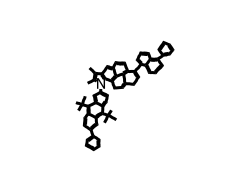 Cc1c(C)n(-c2ccc3c(C(C)(C)C)c4cc(-c5ccccc5)ccc4c(C(C)(C)C)c3c2)c2c3c4c5c(ccc4cc12)C(c1cccc2c(-c4ccccc4)cccc12)=CCC5=CC3